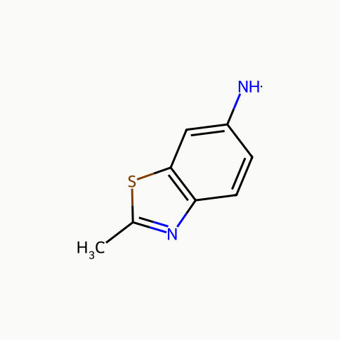 Cc1nc2ccc([NH])cc2s1